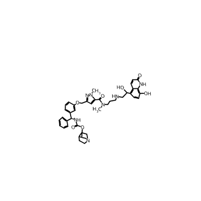 CN(CCCNCC(O)c1ccc(O)c2[nH]c(=O)ccc12)C(=O)c1cc(COc2cccc([C@@H](NC(=O)OC3CN4CCC3CC4)c3ccccc3)c2)nn1C